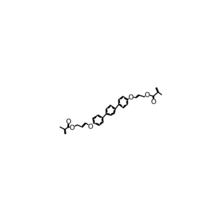 C=C(C)C(=O)OC/C=C/Oc1ccc(-c2ccc(-c3ccc(O/C=C/COC(=O)C(=C)C)cc3)cc2)cc1